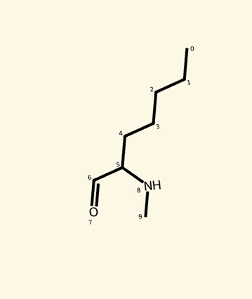 CCCCCC(C=O)NC